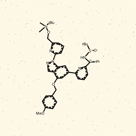 CCC[C@H](N[S+]([O-])C(C)(C)C)c1cccc(-c2cc(OCc3ccc(OC)cc3)c3cnn(-c4cccc(CO[Si](C)(C)C(C)(C)C)n4)c3c2)n1